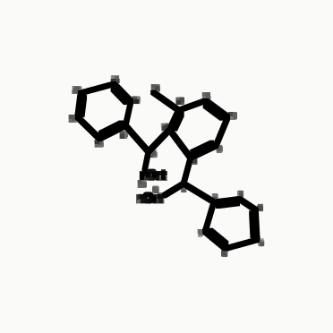 CCCCCCCCC(c1ccccc1)c1cccc(C)c1C(CCCCCCCC)c1ccccc1